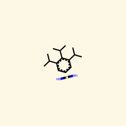 CC(C)c1cccc(C(C)C)c1C(C)C.N=C=N